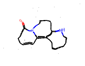 O=C1CC=CC2=C3CCCNC3CCN12